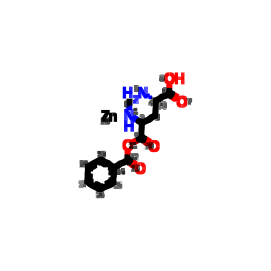 CNC(C[C@H](N)C(=O)O)C(=O)OC(=O)c1ccccc1.[Zn]